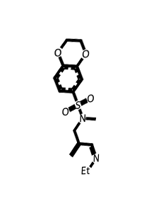 C=C(/C=N\CC)CN(C)S(=O)(=O)c1ccc2c(c1)OCCO2